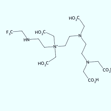 O=C(O)CN(CCN(CC(=O)O)CC(=O)O)CC[N+](CCNCC(F)(F)F)(CC(=O)O)CC(=O)O